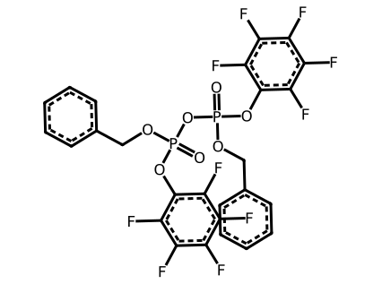 O=P(OCc1ccccc1)(Oc1c(F)c(F)c(F)c(F)c1F)OP(=O)(OCc1ccccc1)Oc1c(F)c(F)c(F)c(F)c1F